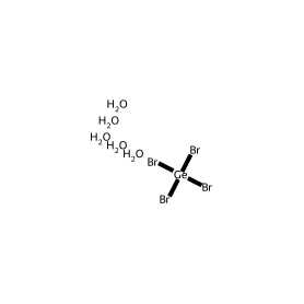 O.O.O.O.O.[Br][Ge]([Br])([Br])[Br]